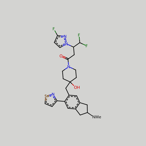 CNC1Cc2cc(CC3(O)CCN(C(=O)CC(C(F)F)n4ccc(F)n4)CC3)c(-c3ccsn3)cc2C1